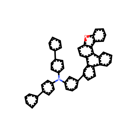 c1ccc(-c2ccc(N(c3ccc(-c4ccccc4)cc3)c3cccc(-c4ccc5c6ccccc6c6c(ccc7oc8ccccc8c76)c5c4)c3)cc2)cc1